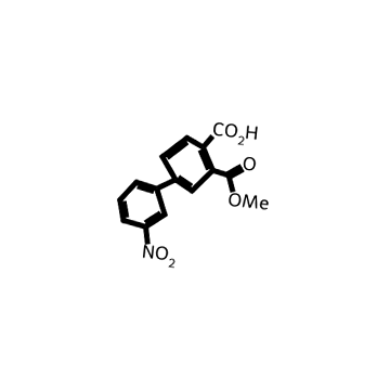 COC(=O)c1cc(-c2cccc([N+](=O)[O-])c2)ccc1C(=O)O